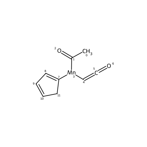 C[C](=O)[Mn]([CH]=C=O)[C]1=CC=CC1